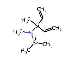 C=C[Si](C)(C=C)N(C)[SiH](C)C